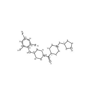 O=C(C1CCN(CC2CCOC2)CC1)N1CCC(Oc2c(F)cc(F)cc2F)CC1